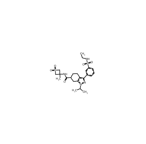 CCNS(=O)(=O)c1cccc(-c2nn(C(C)C)c3c2CCC(C(=O)NC2(C)CS(=O)(=O)C2)C3)c1